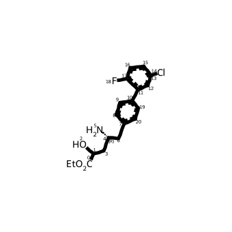 CCOC(=O)C(O)C[C@H](N)Cc1ccc(-c2cc(Cl)ccc2F)cc1